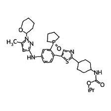 Cc1cc(Nc2ccc(-c3cnc(C4CCC(NC(=O)OC(C)C)CC4)s3)c(P3(=O)CCCC3)c2)nn1C1CCCCO1